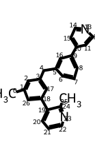 Cc1cc(Cc2cccc(-c3ccncc3)c2)cc(-c2cccnc2C)c1